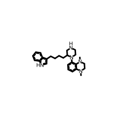 CN1CCN(C)c2c1cccc2N1CCNCC1CCCCc1c[nH]c2ccccc12